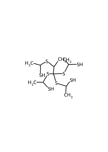 CC(S)SC(C)C(SC(C)S)(SC(C)S)SC(C)S